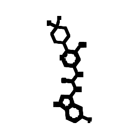 N#Cc1cc(NC(=O)Nc2c[nH]c3ccc(F)cc23)cnc1C1CCC(F)(F)CC1